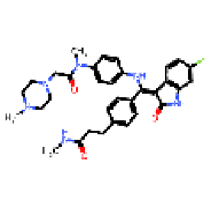 CNC(=O)CCc1ccc(C(Nc2ccc(N(C)C(=O)CN3CCN(C)CC3)cc2)=C2C(=O)Nc3cc(F)ccc32)cc1